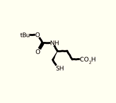 CC(C)(C)OC(=O)N[C@H](CS)CCC(=O)O